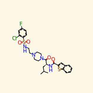 CC(C)C[C@H](NC(=O)c1cc2ccccc2s1)C(=O)N1CCN(CCNS(=O)(=O)c2ccc(F)cc2Cl)CC1